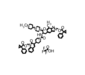 Cc1cc(CC(NC(=O)N2CCC(c3cc4ccccc4n(COC(=O)C4(c5ccccc5)CC4)c3=O)CC2)C(=O)N2CCN(C3CCN(C)CC3)CC2)cc2cn(COC(=O)C3(c4ccccc4)CC3)nc12.O=C(O)C(F)(F)F